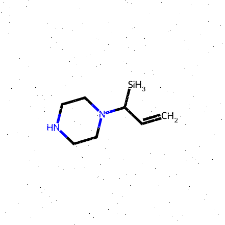 C=CC([SiH3])N1CCNCC1